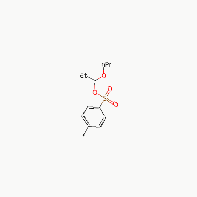 CCCOC(CC)OS(=O)(=O)c1ccc(C)cc1